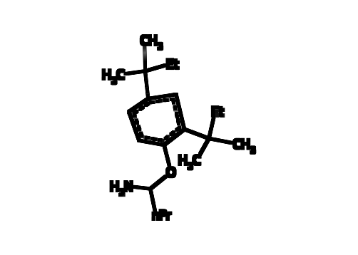 CCCC(N)Oc1ccc(C(C)(C)CC)cc1C(C)(C)CC